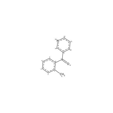 Cc1ccccc1C(=O)c1cccnc1